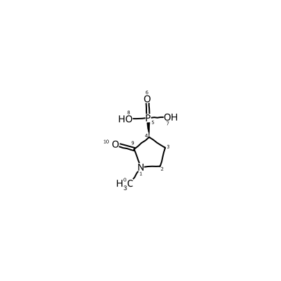 CN1CC[C@H](P(=O)(O)O)C1=O